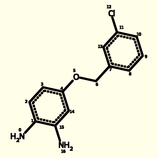 Nc1ccc(OCc2cccc(Cl)c2)cc1N